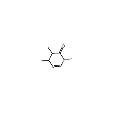 CC1C(=O)N(C)C=NC1I